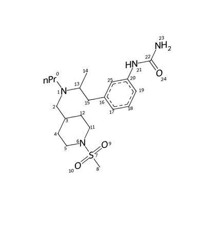 CCCN(CC1CCN(S(C)(=O)=O)CC1)C(C)Cc1cccc(NC(N)=O)c1